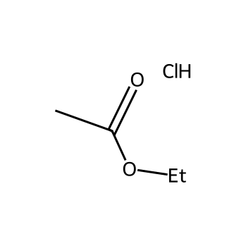 CCOC(C)=O.Cl